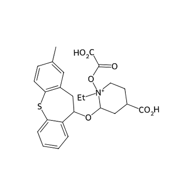 CC[N+]1(OC(=O)C(=O)O)CCC(C(=O)O)CC1OC1Cc2cc(C)ccc2Sc2ccccc21